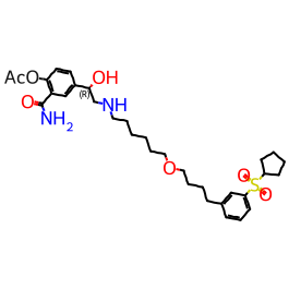 CC(=O)Oc1ccc([C@@H](O)CNCCCCCCOCCCCc2cccc(S(=O)(=O)C3CCCC3)c2)cc1C(N)=O